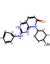 CC(C)(C)C1CCC(n2c(=O)ccc3cnc(Nc4ccccc4)nc32)CC1